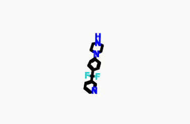 FC(F)(c1ccc(N2CCNCC2)cc1)c1cccnc1